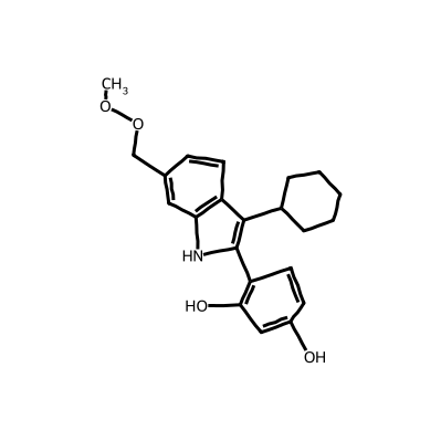 COOCc1ccc2c(C3CCCCC3)c(-c3ccc(O)cc3O)[nH]c2c1